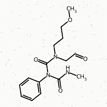 CNC(=O)N(C(=O)N(C[C]=O)CCCOC)c1ccccc1